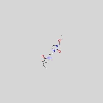 CCOCN1CCN(CCNC(=O)C(C)(C)CC)C1=O